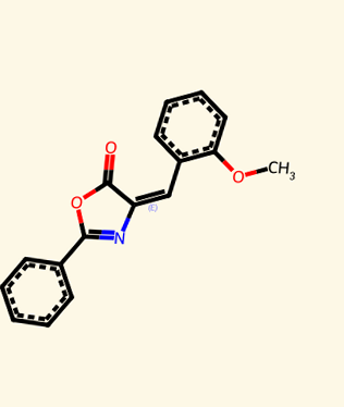 COc1ccccc1/C=C1/N=C(c2ccccc2)OC1=O